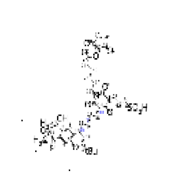 CCN1c2cc3c(cc2C(C)=CC1(C)C)/C(=C/C=C/C=C1\C(=O)N(CCCCCC(=O)ON2C(=O)CCC2=O)C(=O)N(CCCS(=O)(=O)O)C1=O)C=C(C(C)(C)C)O3